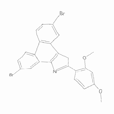 COc1ccc(C2=Nc3c(c4cc(Br)ccc4c4ccc(Br)cc34)C2)c(OC)c1